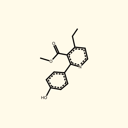 CCc1ccnc(-c2ccc(O)cc2)c1C(=O)OC